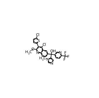 COc1nc2ccc(C(O)(c3ccc(C(F)(F)F)nc3)c3cncn3C)cc2c(Cl)c1-c1ccc(Cl)s1